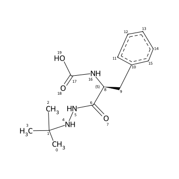 CC(C)(C)NNC(=O)[C@H](Cc1ccccc1)NC(=O)O